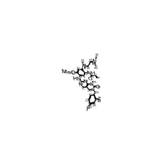 C=CC(=O)Nc1cc(Nc2ncc3c(n2)N(C)C(=O)N(Cc2ccc(F)cc2F)C3)c(OC)cc1N(C)CCN(C)C